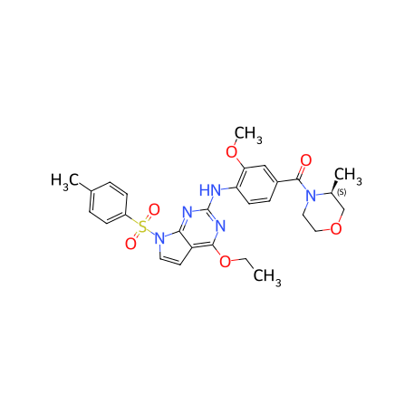 CCOc1nc(Nc2ccc(C(=O)N3CCOC[C@@H]3C)cc2OC)nc2c1ccn2S(=O)(=O)c1ccc(C)cc1